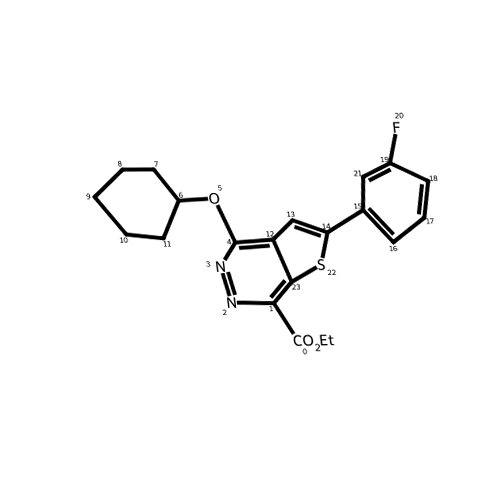 CCOC(=O)c1nnc(OC2CCCCC2)c2cc(-c3cccc(F)c3)sc12